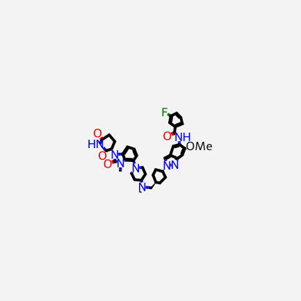 COc1cc2nn([C@H]3CC[C@H](CN(C)C4CCN(c5cccc6c5n(C)c(=O)n6C5CCC(=O)NC5=O)CC4)CC3)cc2cc1NC(=O)c1cccc(F)c1